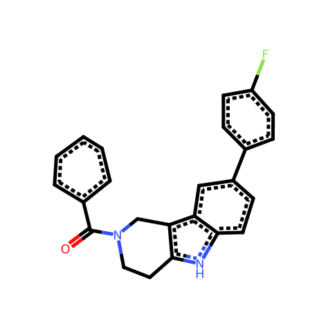 O=C(c1ccccc1)N1CCc2[nH]c3ccc(-c4ccc(F)cc4)cc3c2C1